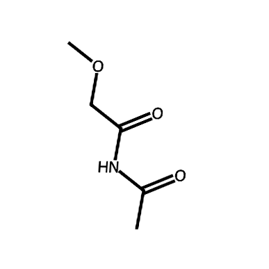 COCC(=O)NC(C)=O